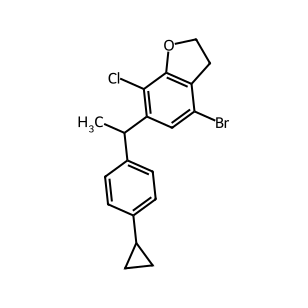 CC(c1ccc(C2CC2)cc1)c1cc(Br)c2c(c1Cl)OCC2